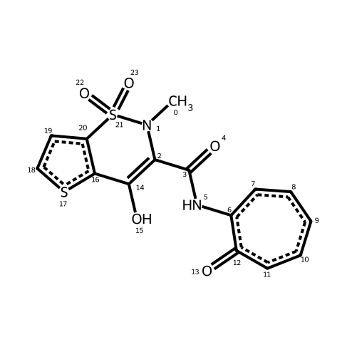 CN1C(C(=O)Nc2cccccc2=O)=C(O)c2sccc2S1(=O)=O